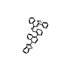 N/C(=N\C(=N/CC1=C(C2=C3C=CC=CC3C(c3nc4ccccc4o3)C=C2)C=CCC1)c1ccccc1)c1ccccc1